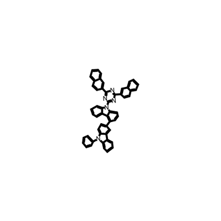 c1ccc(-n2c3ccccc3c3cc(-c4cccc5c4c4ccccc4n5-c4nc(-c5ccc6ccccc6c5)nc(-c5ccc6ccccc6c5)n4)ccc32)cc1